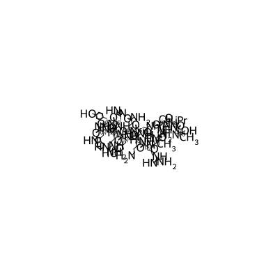 CC(C)[C@H](NC(=O)[C@@H](N)[C@@H](C)O)C(=O)N[C@@H](C)C(=O)NCC(=O)N[C@@H](C)C(=O)N[C@@H](CCCNC(=N)N)C(=O)N[C@@H](CCCCN)C(=O)N[C@@H](CC(N)=O)C(=O)N[C@@H](CCC(N)=O)C(=O)N[C@@H](Cc1ccc(O)cc1)C(=O)N[C@@H](CCCNC(=N)N)C(=O)N[C@@H](Cc1c[nH]cn1)C(=O)N[C@@H](Cc1ccc(O)cc1)C(=O)N[C@@H](Cc1c[nH]c2ccccc12)C(N)=O